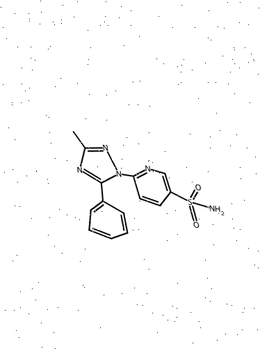 Cc1nc(-c2ccccc2)n(-c2ccc(S(N)(=O)=O)cn2)n1